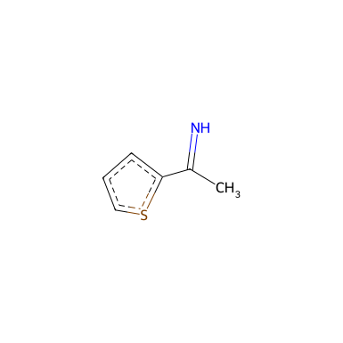 CC(=N)c1cccs1